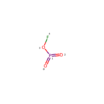 O=P(=O)OF